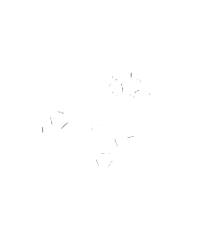 COc1ccc(COP(=O)(COCCn2cnc3c(=O)[nH]c(N)nc32)OCc2oc(=O)oc2-c2ccccc2)cc1F